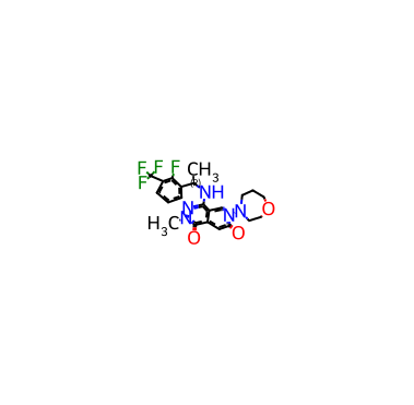 C[C@@H](Nc1nn(C)c(=O)c2cc(=O)n(N3CCCOCC3)cc12)c1cccc(C(F)(F)F)c1F